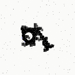 COc1cc2cc(c1Cl)N(C)C(=O)C[C@H](OC(=O)[C@@H](C)N(C)C(=O)CCCCCNC(=O)c1ccc3nc(CBr)c(CBr)nc3c1)[C@]1(C)CC1[C@H](C)[C@@H]1C[C@@](O)(NC(=O)O1)[C@H](OC)/C=C/C=C(\C)C2